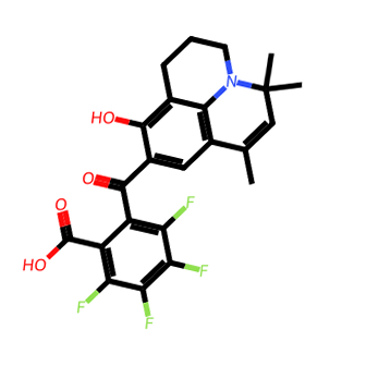 CC1=CC(C)(C)N2CCCc3c(O)c(C(=O)c4c(F)c(F)c(F)c(F)c4C(=O)O)cc1c32